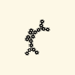 C1=CC2C(C=C1c1ccccc1)c1cc(-c3ccccc3)ccc1N2c1ccc(-c2ccc(N(c3cccc(N(c4ccc(-c5ccc(-n6c7ccc(-c8ccccc8)cc7c7cc(-c8ccccc8)ccc76)cc5)cc4)c4cccc5ccccc45)c3)c3cccc4ccccc34)cc2)cc1